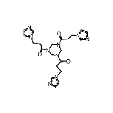 O=C(CCn1ccnc1)N1CN(C(=O)CCn2ccnc2)CN(C(=O)CCn2ccnc2)C1